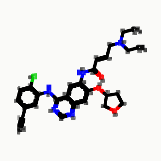 C#Cc1ccc(Cl)c(Nc2ncnc3cc(O[C@H]4CCOC4)c(NC(=O)C=CCN(CC)CC)cc23)c1